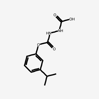 CC(C)c1cccc(OC(=O)NNC(=O)O)c1